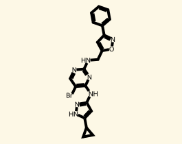 Brc1cnc(NCc2cc(-c3ccccc3)no2)nc1Nc1cc(C2CC2)[nH]n1